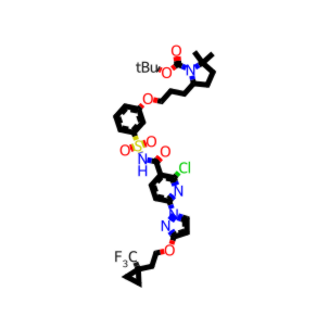 CC(C)(C)OC(=O)N1C(CCCOc2cccc(S(=O)(=O)NC(=O)c3ccc(-n4ccc(OCCC5(C(F)(F)F)CC5)n4)nc3Cl)c2)CCC1(C)C